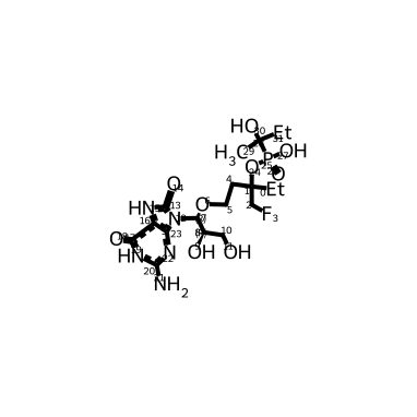 CCC(CF)(CCO[C@H]([C@H](O)CO)n1c(=O)[nH]c2c(=O)[nH]c(N)nc21)OP(=O)(O)C(C)(O)CC